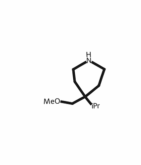 COCC1(C(C)C)CCNCC1